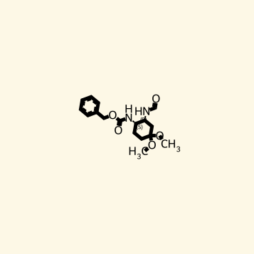 COC1(OC)CC[C@H](NC(=O)OCc2ccccc2)[C@H](NC=O)C1